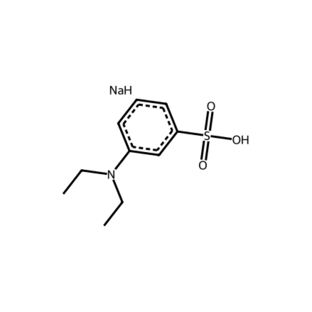 CCN(CC)c1cccc(S(=O)(=O)O)c1.[NaH]